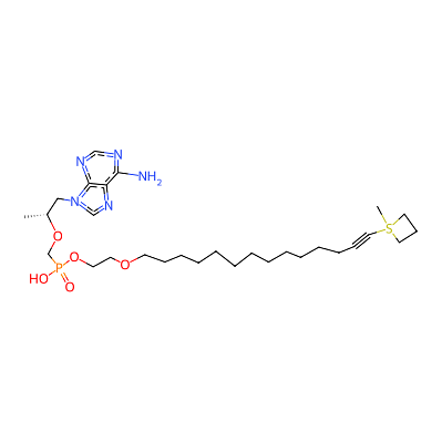 C[C@H](Cn1cnc2c(N)ncnc21)OCP(=O)(O)OCCOCCCCCCCCCCCCC#CS1(C)CCC1